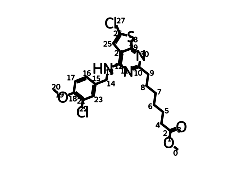 COC(=O)CCCCCCc1nc(NCc2ccc(OC)c(Cl)c2)c2cc(Cl)sc2n1